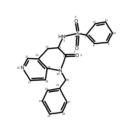 O=C1C(NS(=O)(=O)c2ccccc2)Cc2cnccc2N1Cc1ccccc1